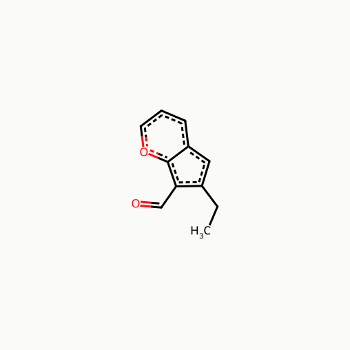 CCc1cc2cccoc-2c1C=O